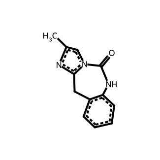 Cc1cn2c(n1)Cc1ccccc1NC2=O